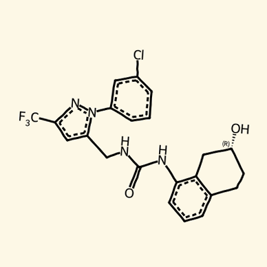 O=C(NCc1cc(C(F)(F)F)nn1-c1cccc(Cl)c1)Nc1cccc2c1C[C@H](O)CC2